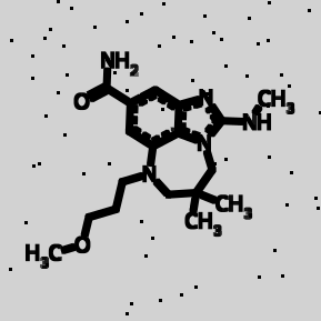 CNc1nc2cc(C(N)=O)cc3c2n1CC(C)(C)CN3CCCOC